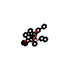 c1ccc(-c2ccc(N(c3ccc4c5ccccc5n(-c5ccc6ccccc6c5)c4c3)c3ccccc3C3(c4ccccc4)c4ccccc4C4(c5ccccc5)c5ccccc5-c5cccc3c54)cc2)cc1